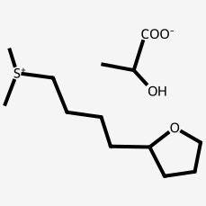 CC(O)C(=O)[O-].C[S+](C)CCCCC1CCCO1